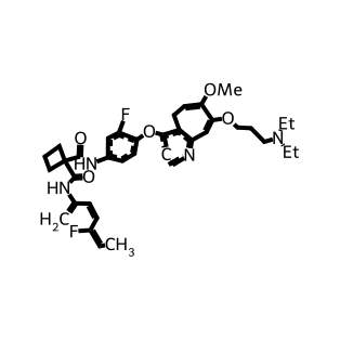 C=C(/C=C\C(F)=C/C)NC(=O)C1(C(=O)Nc2ccc(Oc3ccnc4c3CC=C(OC)C(OCCCN(CC)CC)=C4)c(F)c2)CCC1